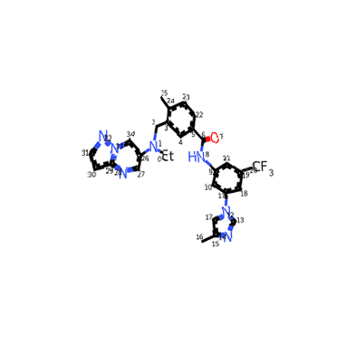 CCN(Cc1cc(C(=O)Nc2cc(-n3cnc(C)c3)cc(C(F)(F)F)c2)ccc1C)c1cnc2ccnn2c1